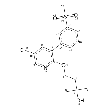 CC(C)(O)CCOc1ncc(Cl)cc1-c1cccc(S(C)(=O)=O)c1